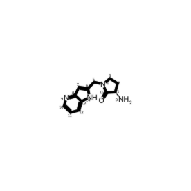 N[C@H]1CCN(Cc2cc3ncccc3[nH]2)C1=O